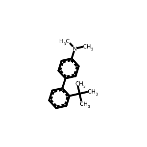 CN(C)c1ccc(-c2ccccc2C(C)(C)C)cc1